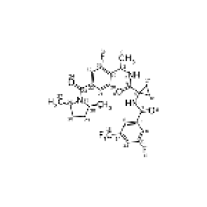 CC(NC(=O)C1(NC(=O)c2cc(F)cc(C(F)(F)F)c2)CC1)c1ccc(C(=O)N2[C@H](C)CC[C@@H]2C)cc1F